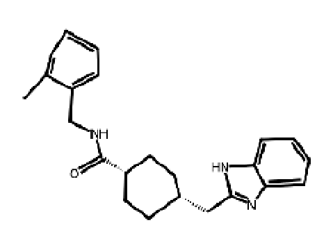 Cc1ccccc1CNC(=O)[C@H]1CC[C@@H](Cc2nc3ccccc3[nH]2)CC1